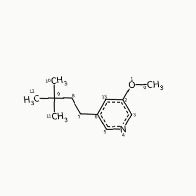 COc1cncc(CCC(C)(C)C)c1